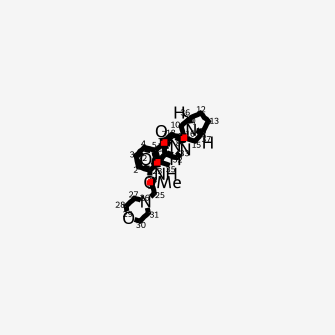 COc1cccc(C(=O)N[C@H]2C[C@H]3CC[C@@H](C2)N3c2ccc(C(=O)NCCN3CCOCC3)cn2)c1C